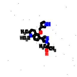 C[C@H]1CCc2c(ccc(-c3cnn(CC(C)(C)O)c3)c2OC[C@H]2CCNC2)N1C(=O)O